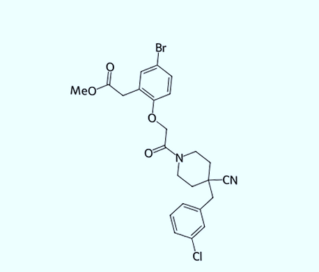 COC(=O)Cc1cc(Br)ccc1OCC(=O)N1CCC(C#N)(Cc2cccc(Cl)c2)CC1